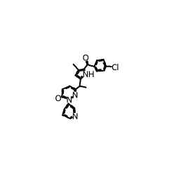 Cc1cc(C(C)c2ccc(=O)n(-c3cccnc3)n2)[nH]c1C(=O)c1ccc(Cl)cc1